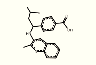 Cc1nc2ccccc2cc1NC(CC(C)C)c1ccc(C(=O)O)cc1